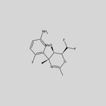 CO[C@H]1[C@@H](C(F)F)OC(C)=N[C@]1(C)c1cc(N)ccc1F